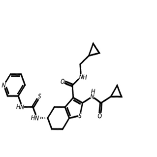 O=C(NCC1CC1)c1c(NC(=O)C2CC2)sc2c1C[C@@H](NC(=S)Nc1cccnc1)CC2